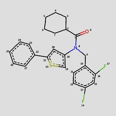 O=C(C1CCCCC1)N(Cc1ccc(F)cc1F)c1csc(-c2ccccc2)c1